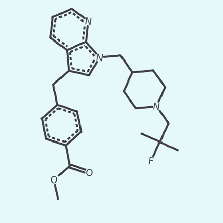 COC(=O)c1ccc(Cc2cn(CC3CCN(CC(C)(C)F)CC3)c3ncccc23)cc1